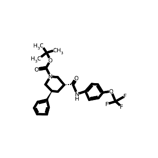 CC(C)(C)OC(=O)N1C[C@H](C(=O)Nc2ccc(OC(F)(F)F)cc2)C[C@@H](c2ccccc2)C1